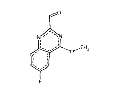 COc1nc(C=O)nc2ccc(F)cc12